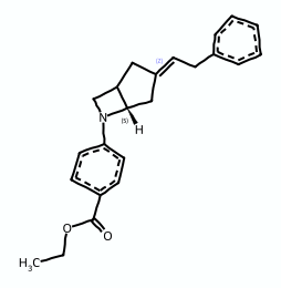 CCOC(=O)c1ccc(N2CC3C/C(=C/Cc4ccccc4)C[C@@H]32)cc1